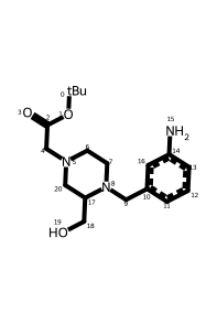 CC(C)(C)OC(=O)CN1CCN(Cc2cccc(N)c2)C(CO)C1